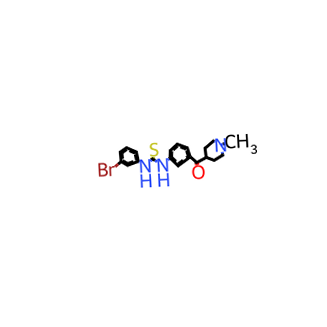 CN1CCC(C(=O)c2cccc(NC(=S)Nc3cccc(Br)c3)c2)CC1